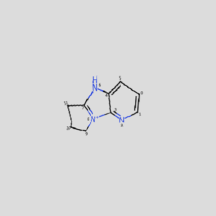 c1cnc2c(c1)[nH]c1[n+]2CCC1